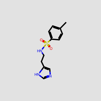 Cc1ccc(S(=O)(=O)NCCc2cnc[nH]2)cc1